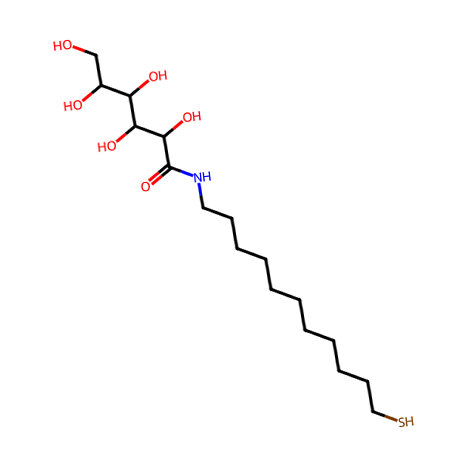 O=C(NCCCCCCCCCCCS)C(O)C(O)C(O)C(O)CO